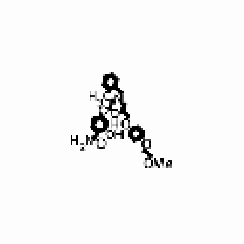 COCCOc1ccc(OCC(O)CN(Cc2ccccc2)C(C)COc2ccc(C(N)=O)c(O)c2)cc1